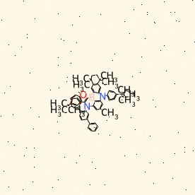 Cc1cc2c3c(c1)N(c1cc(-c4ccccc4)ccc1-c1ccccc1)c1c(oc4ccc(C(C)(C)C)cc14)B3c1cc3c(cc1N2C1=C=C=C(C(C)(C)C)C=C1)C(C)(C)CCC3(C)C